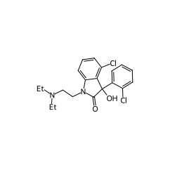 CCN(CC)CCN1C(=O)C(O)(c2ccccc2Cl)c2c(Cl)cccc21